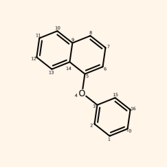 [c]1ccc(Oc2cccc3ccccc23)cc1